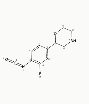 O=C=Nc1ccc(C2CNCCO2)cc1F